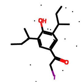 CCC(C)c1cc(C(=O)CI)cc(C(C)CC)c1O